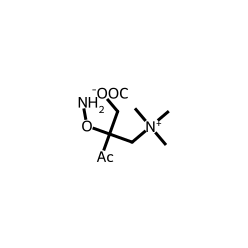 CC(=O)C(CC(=O)[O-])(C[N+](C)(C)C)ON